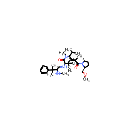 CNC(CNC(C(=O)N(C)C(/C=C(\C)C(=O)N1CCC[C@H]1COC)C(C)C)C(C)(C)C)C(C)(C)c1ccccc1